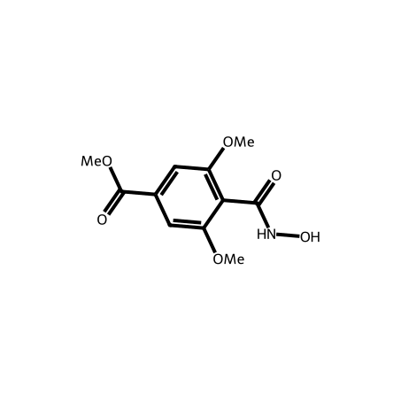 COC(=O)c1cc(OC)c(C(=O)NO)c(OC)c1